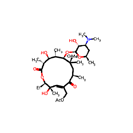 CC[C@H]1OC(=O)[C@H](C)[C@@H](O)[C@H](C)[C@@H](O[C@@H]2O[C@H](C)C[C@H](N(C)C)[C@H]2O)[C@@](C)(OC)C[C@@H](C)C(=O)/C(COC(C)=O)=C/[C@]1(C)O